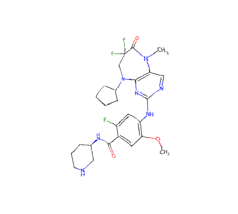 COc1cc(C(=O)N[C@@H]2CCCNC2)c(F)cc1Nc1ncc2c(n1)N(C1CCCC1)CC(F)(F)C(=O)N2C